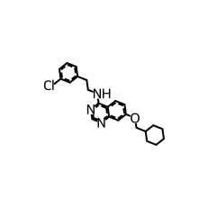 Clc1cccc(CCNc2ncnc3cc(OCC4CCCCC4)ccc23)c1